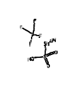 F[B-](F)(F)F.O=S(=O)(O)S.[LiH]